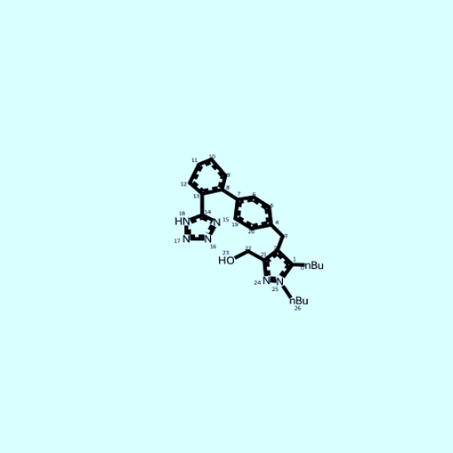 CCCCc1c(Cc2ccc(-c3ccccc3-c3nnn[nH]3)cc2)c(CO)nn1CCCC